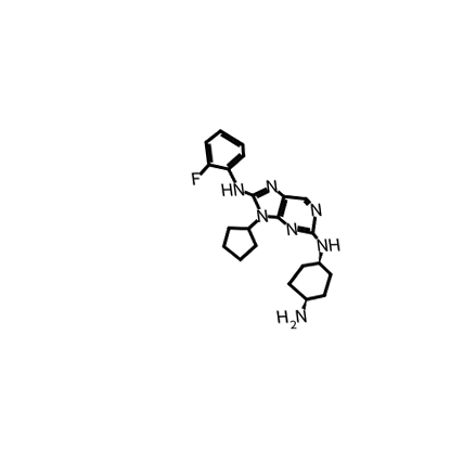 N[C@H]1CC[C@@H](Nc2ncc3nc(Nc4ccccc4F)n(C4CCCC4)c3n2)CC1